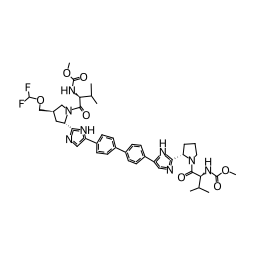 COC(=O)N[C@H](C(=O)N1CCC[C@H]1c1ncc(-c2ccc(-c3ccc(-c4cnc([C@@H]5C[C@@H](COC(F)F)CN5C(=O)[C@@H](NC(=O)OC)C(C)C)[nH]4)cc3)cc2)[nH]1)C(C)C